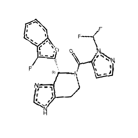 O=C(c1ccnn1C(F)F)N1CCc2[nH]cnc2[C@@H]1c1oc2ccccc2c1F